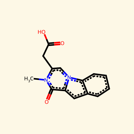 Cn1c(CC(=O)O)cn2c(cc3ccccc32)c1=O